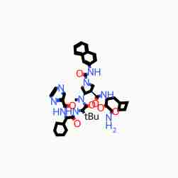 CN(C(=O)C(NC(=O)C(NC(=O)c1cnccn1)C1CCCCC1)C(C)(C)C)[C@H]1CN(C(=O)Nc2ccc3ccccc3c2)C[C@H]1C(=O)NC(CC1CCC1)C(=O)C(N)=O